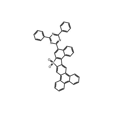 O=S1(=O)c2cc3c4ccccc4c4ccccc4c3cc2-c2c1cc(-c1nc(-c3ccccc3)nc(-c3ccccc3)n1)c1ccccc21